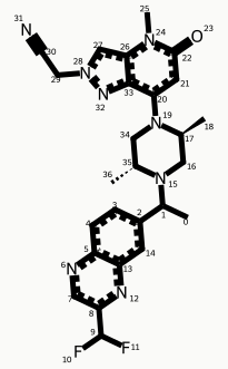 CC(c1ccc2ncc(C(F)F)nc2c1)N1C[C@H](C)N(c2cc(=O)n(C)c3cn(CC#N)nc23)C[C@H]1C